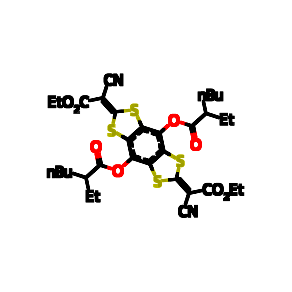 CCCCC(CC)C(=O)Oc1c2c(c(OC(=O)C(CC)CCCC)c3c1SC(=C(C#N)C(=O)OCC)S3)SC(=C(C#N)C(=O)OCC)S2